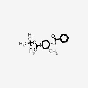 C[C@@H]1CN(C(=O)OC(C)(C)C)CC[C@H]1OC(=O)c1ccccc1